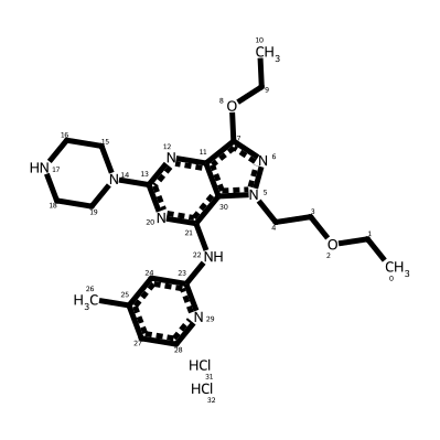 CCOCCn1nc(OCC)c2nc(N3CCNCC3)nc(Nc3cc(C)ccn3)c21.Cl.Cl